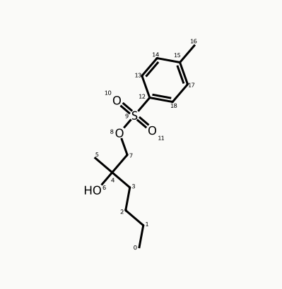 CCCCC(C)(O)COS(=O)(=O)c1ccc(C)cc1